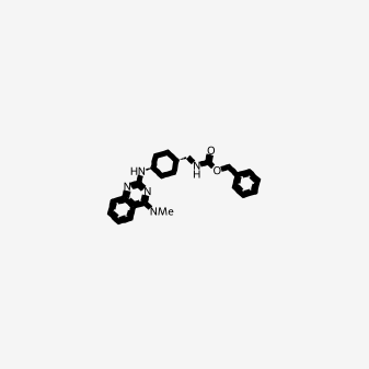 CNc1nc(N[C@H]2CC[C@@H](CNC(=O)OCc3ccccc3)CC2)nc2ccccc12